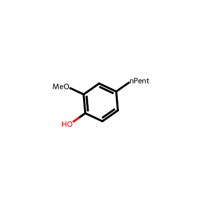 CCC[CH]Cc1ccc(O)c(OC)c1